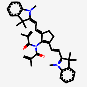 C=C(C)C(=O)N(C(=O)C(=C)C)C1=C(/C=C/C2=[N+](C)c3ccccc3C2(C)C)CC/C1=C\C=C1\N(C)c2ccccc2C1(C)C